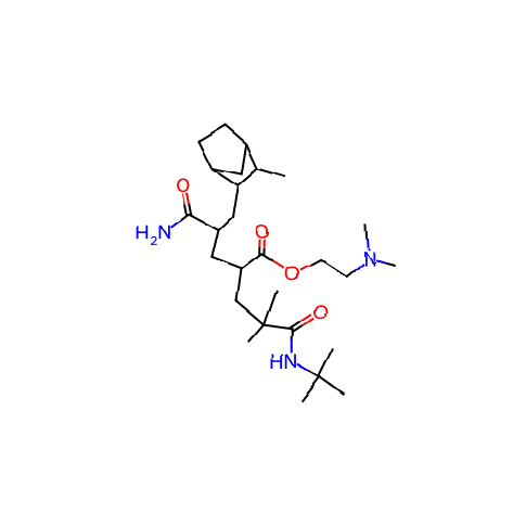 CC1C2CCC(C2)C1CC(CC(CC(C)(C)C(=O)NC(C)(C)C)C(=O)OCCN(C)C)C(N)=O